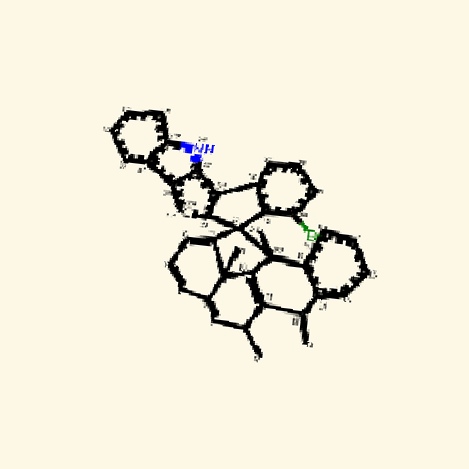 CC1C=C2C=CC=C3C2(C)C2=C1C(C)c1ccccc1C2(C)C31c2ccc3c([nH]c4ccccc43)c2-c2cccc(Br)c21